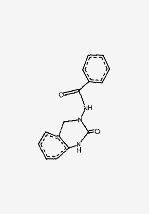 O=C(NN1Cc2ccccc2NC1=O)c1ccccc1